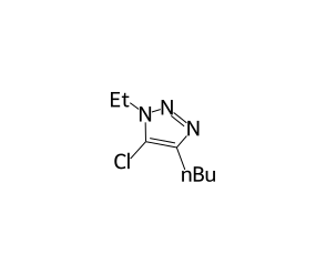 CCCCc1nnn(CC)c1Cl